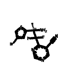 C[C@@](N)(c1cc(Br)cs1)C(F)(F)c1ncncc1C#N